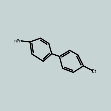 CCCc1ccc(-c2ccc(CC)cc2)cc1